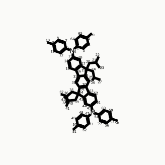 Cc1ccc(N(c2ccc(C)cc2)c2ccc3c(c2)C(CC(C)C)(CC(C)C)c2cc4c(cc2-3)C(CC(C)C)(CC(C)C)c2cc(N(c3ccc(C)cc3)c3ccc(C)cc3)ccc2-4)cc1